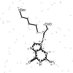 CCCCCCCCCCCCCC[CH][C@H](CC=O)Cn1cnc2c(=O)[nH]c(N)nc21